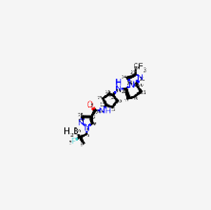 BC(C)(F)Cn1cc(C(=O)NC2CCC(NC3=CCCc4nc(C(F)(F)F)cn43)CC2)cn1